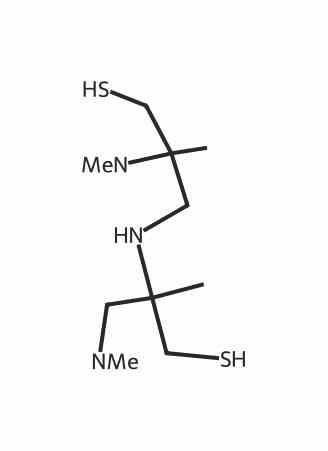 CNCC(C)(CS)NCC(C)(CS)NC